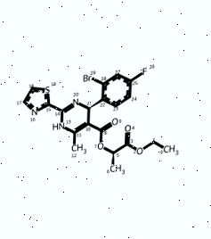 CCOC(=O)[C@@H](C)OC(=O)C1=C(C)NC(c2nccs2)=N[C@H]1c1ccc(F)cc1Br